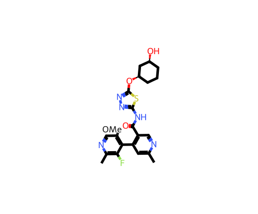 COc1cnc(C)c(F)c1-c1cc(C)ncc1C(=O)Nc1nnc(O[C@@H]2CCC[C@H](O)C2)s1